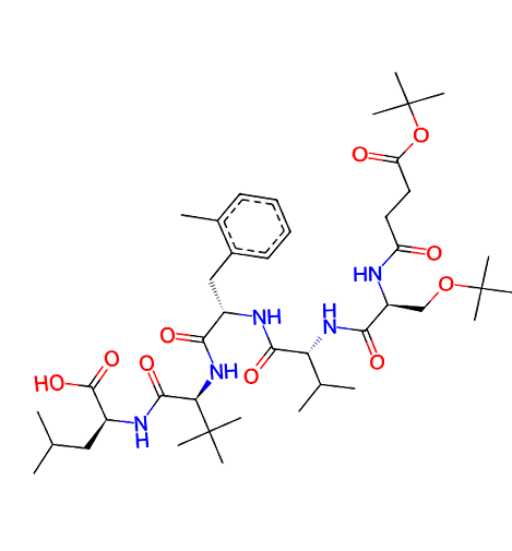 Cc1ccccc1C[C@H](NC(=O)[C@H](NC(=O)[C@H](COC(C)(C)C)NC(=O)CCC(=O)OC(C)(C)C)C(C)C)C(=O)N[C@H](C(=O)N[C@@H](CC(C)C)C(=O)O)C(C)(C)C